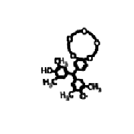 CC1=CC(=C(c2cc(C)c(O)c(C)c2)c2ccc3c(c2)OCCOCCOCCOCCO3)CC(C)=C1[O]